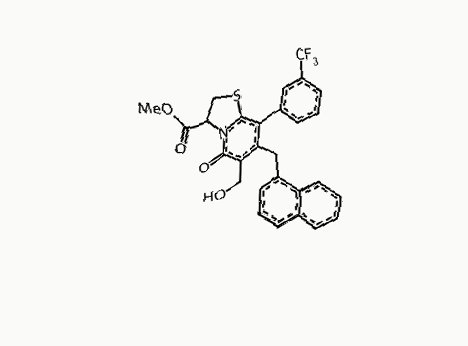 COC(=O)C1CSc2c(-c3cccc(C(F)(F)F)c3)c(Cc3cccc4ccccc34)c(CO)c(=O)n21